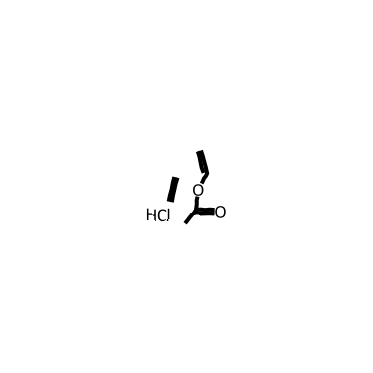 C=C.C=COC(C)=O.Cl